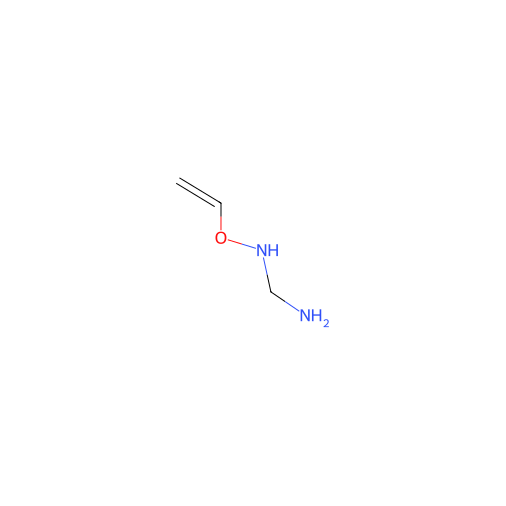 C=CONCN